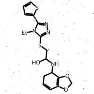 CCn1c(SCC(O)NC2CC=CC3=C2OCO3)nnc1-c1cccs1